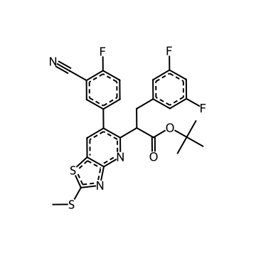 CSc1nc2nc(C(Cc3cc(F)cc(F)c3)C(=O)OC(C)(C)C)c(-c3ccc(F)c(C#N)c3)cc2s1